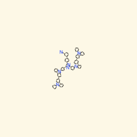 N#Cc1cccc(-c2ccc(-c3cc(-c4ccc(-n5c6ccccc6c6cc(-c7ccc8c(c7)c7ccccc7n8-c7ccccc7)ccc65)cc4)nc(-c4cccc(-n5c6ccccc6c6cc(-c7ccc8c(c7)c7ccccc7n8-c7ccccc7)ccc65)c4)n3)cc2)c1